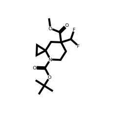 COC(=O)C1(C(F)F)CCN(C(=O)OC(C)(C)C)C2(CC2)C1